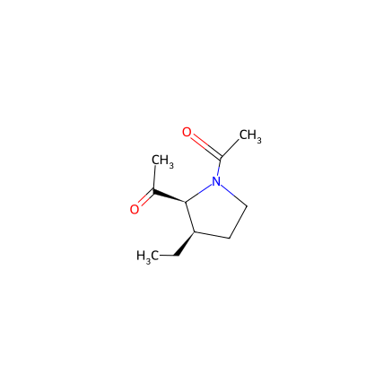 CC[C@@H]1CCN(C(C)=O)[C@@H]1C(C)=O